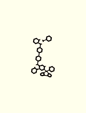 c1ccc(-c2nc(-c3ccc(-c4ccc(-c5nc6ccccc6c6cc7c(cc56)Oc5ccccc5C75c6ccccc6-c6ccccc65)cc4)cc3)c3ccccc3n2)cc1